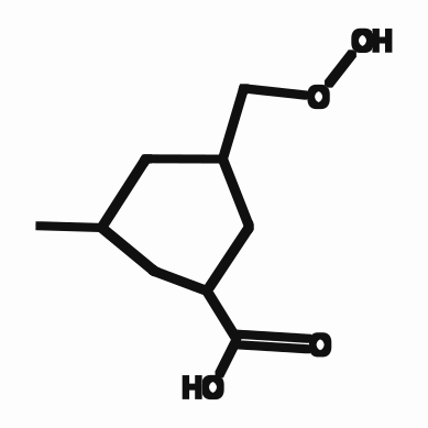 CC1CC(COO)CC(C(=O)O)C1